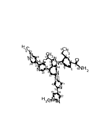 CCc1cc(C(N)=O)ccc1-n1nc(C(C)C)c2c(-n3cnc(-c4cnn(C)c4)c3)cc(-n3cnc(-c4cnn(C)c4)c3)nc21